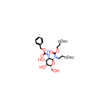 CCCCCCCCCCCCOC(=O)N(CCCCCCCCCCCC)[C@@H]1O[C@H](CO)[C@@H](O)[C@H](O)[C@H]1NC(=O)OCc1ccccc1